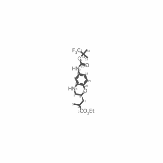 CCOC(=O)C(C)C[C@H]1CNc2cc(NC(=O)OC(C)(C)C(F)(F)F)ccc2O1